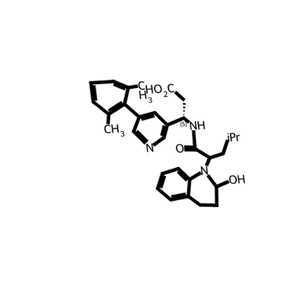 Cc1cccc(C)c1-c1cncc([C@H](CC(=O)O)NC(=O)C(CC(C)C)N2c3ccccc3CCC2O)c1